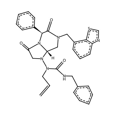 C=CCN(C(=O)NCc1ccccc1)N1CC(=O)N2[C@@H](c3ccccc3)C(=O)N(Cc3cccc4ncsc34)C[C@@H]21